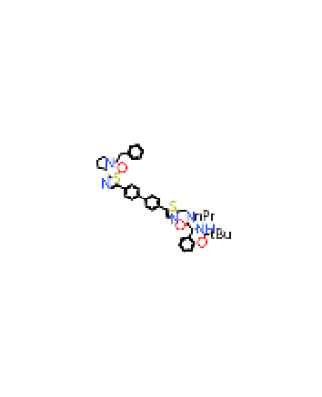 CCCN(Cc1ncc(-c2ccc(-c3ccc(-c4cnc([C@@H]5CCCN5C(=O)Cc5ccccc5)s4)cc3)cc2)s1)C(=O)[C@@H](NC(=O)C(C)(C)C)c1ccccc1